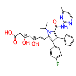 Cc1ccnc(NC(=O)c2c(-c3ccccc3)c(-c3ccc(F)cc3)c(C=C[C@@H](O)C[C@@H](O)CC(=O)O)n2C(C)C)n1